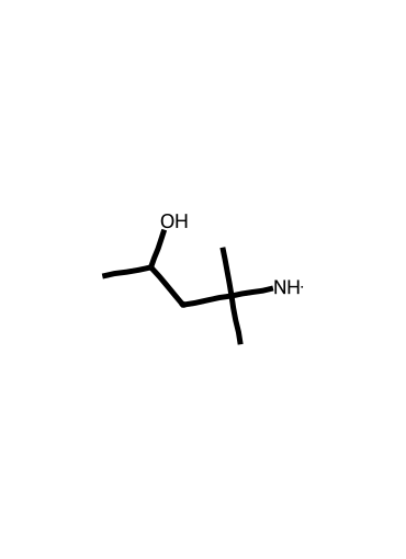 CC(O)CC(C)(C)[NH]